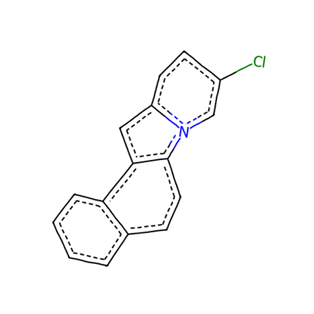 Clc1ccc2cc3c4ccccc4ccc3n2c1